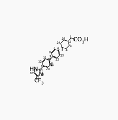 O=C(O)C[C@H]1CC[C@H](c2ccc(-c3ccc(-c4nc(C(F)(F)F)c[nH]4)cn3)cc2)CC1